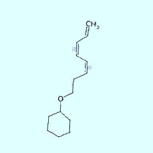 C=C/C=C\C=C/CCOC1CCCCC1